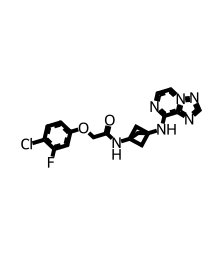 O=C(COc1ccc(Cl)c(F)c1)NC12CC(Nc3nccn4ncnc34)(C1)C2